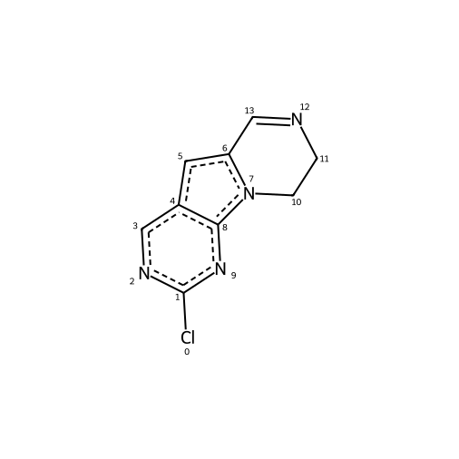 Clc1ncc2cc3n(c2n1)CCN=C3